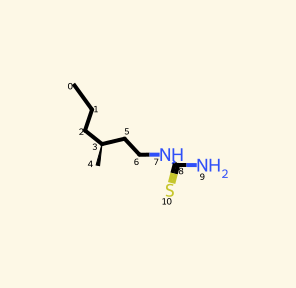 CCC[C@H](C)CCNC(N)=S